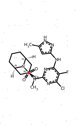 CCS(=O)(=O)N1[C@@H]2CCC[C@H]1C[C@@H](N(C)c1nc(Cl)c(F)c(Nc3cc(C)[nH]n3)n1)C2